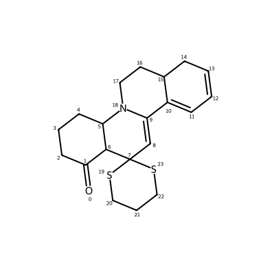 O=C1CCCC2C1C1(C=C3C4=CC=CCC4CCN32)SCCCS1